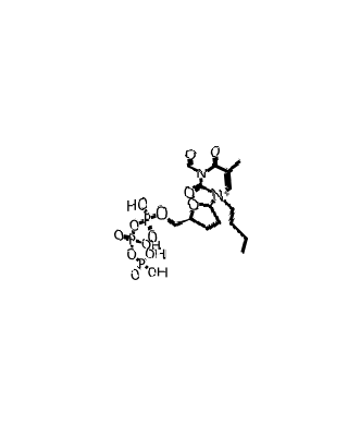 CCCC[N+]1([C@H]2CC[C@@H](COP(=O)(O)OP(=O)(O)OP(=O)(O)O)O2)C=C(C)C(=O)N(C=O)C1=O